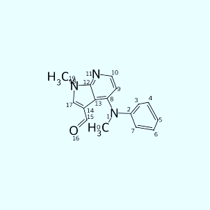 CN(c1ccccc1)c1ccnc2c1c(C=O)cn2C